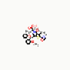 COc1ccccc1[C@H](Cc1cn(C(C)(C)C(=O)O)c(=O)c2c(C)c(-c3ncco3)sc12)Oc1ccccc1